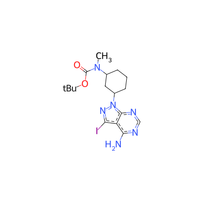 CN(C(=O)OC(C)(C)C)C1CCCC(n2nc(I)c3c(N)ncnc32)C1